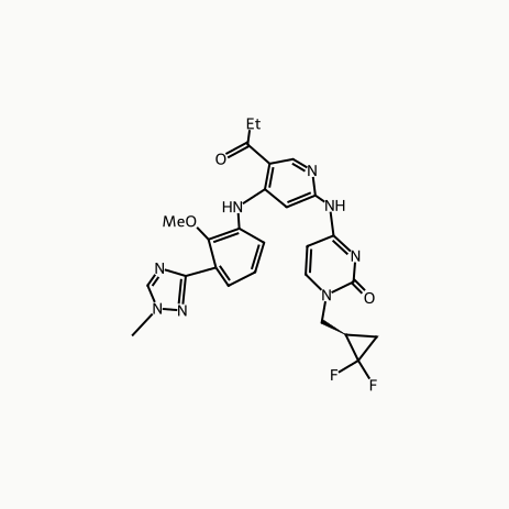 CCC(=O)c1cnc(Nc2ccn(C[C@H]3CC3(F)F)c(=O)n2)cc1Nc1cccc(-c2ncn(C)n2)c1OC